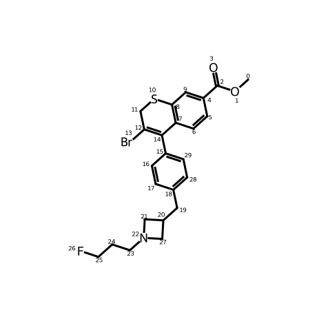 COC(=O)c1ccc2c(c1)SCC(Br)=C2c1ccc(CC2CN(CCCF)C2)cc1